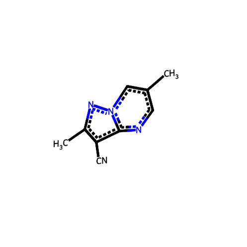 Cc1cnc2c(C#N)c(C)nn2c1